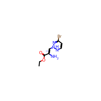 CCOC(=O)/C(N)=C/N1N=C(Br)C=CN1